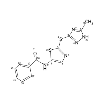 Cc1nc(Sc2ncc(NC(=O)c3ccccc3)s2)n[nH]1